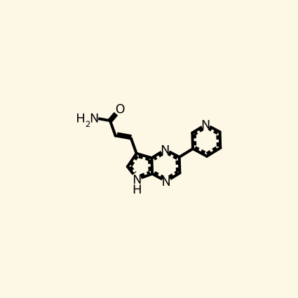 NC(=O)C=Cc1c[nH]c2ncc(-c3cccnc3)nc12